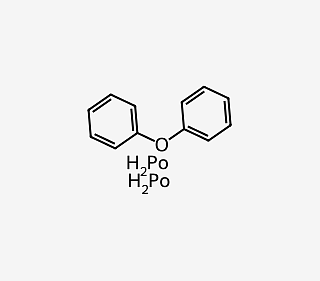 [PoH2].[PoH2].c1ccc(Oc2ccccc2)cc1